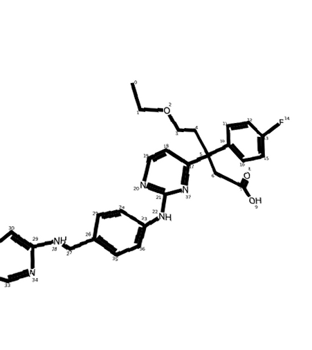 CCOCCC(CC(=O)O)(c1ccc(F)cc1)c1ccnc(Nc2ccc(CNc3ccccn3)cc2)n1